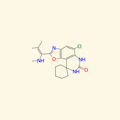 CNC(=C(C)C)c1nc2cc(Cl)c3c(c2o1)C1(CCCCC1)NC(=O)N3